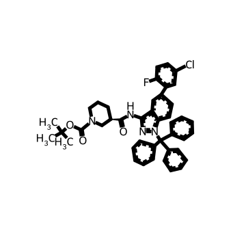 CC(C)(C)OC(=O)N1CCC[C@@H](C(=O)Nc2nn(C(c3ccccc3)(c3ccccc3)c3ccccc3)c3ccc(-c4cc(Cl)ccc4F)cc23)C1